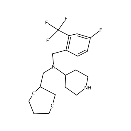 Fc1ccc(CN(CC2CCCCCC2)C2CCNCC2)c(C(F)(F)F)c1